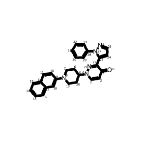 O=c1ccn(C2CCN(c3ccc4ccccc4c3)CC2)nc1-c1ccnn1-c1ccccc1